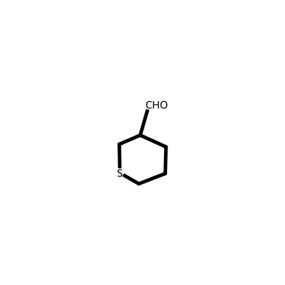 O=CC1CCCSC1